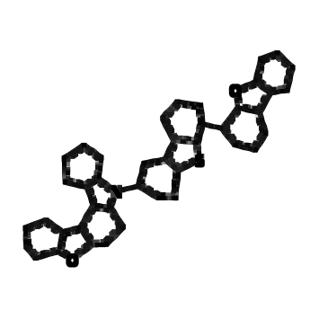 c1ccc2c(c1)oc1c(-c3cccc4c3sc3ccc(-n5c6ccccc6c6c7c(ccc65)oc5ccccc57)cc34)cccc12